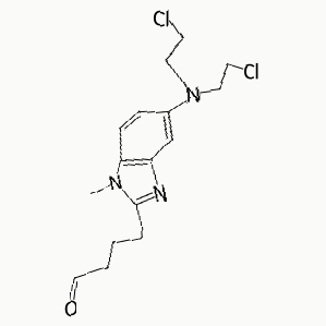 Cn1c(CCCC=O)nc2cc(N(CCCl)CCCl)ccc21